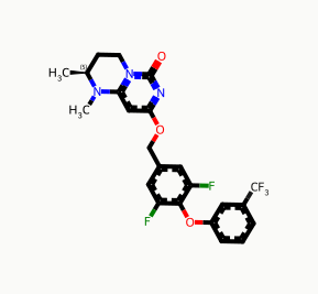 C[C@H]1CCn2c(cc(OCc3cc(F)c(Oc4cccc(C(F)(F)F)c4)c(F)c3)nc2=O)N1C